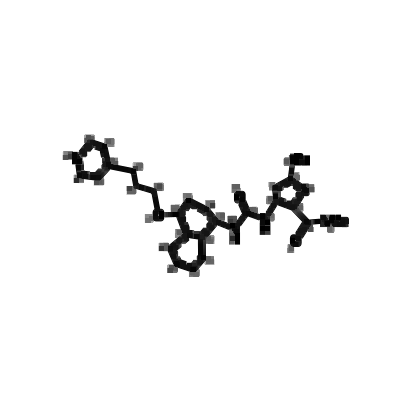 CNC(=O)c1sc(C(C)(C)C)cc1NC(=O)Nc1ccc(OCCCc2ccncc2)c2ccccc12